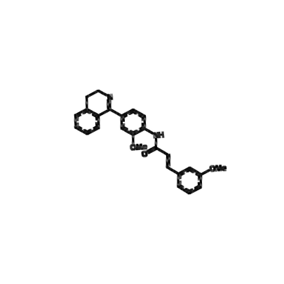 COc1cccc(/C=C/C(=O)Nc2ccc(C3=NCCc4ccccc43)cc2OC)c1